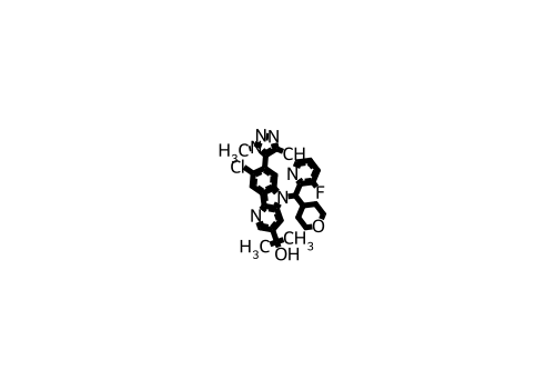 Cc1nnn(C)c1-c1cc2c(cc1Cl)c1ncc(C(C)(C)O)cc1n2C(c1ncccc1F)C1CCOCC1